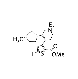 CCN1CCC(c2cc(I)sc2C(=O)OC)=C(C2CCC(C)CC2)C1